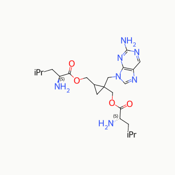 CC(C)C[C@H](N)C(=O)OCC1CC1(COC(=O)[C@@H](N)CC(C)C)Cn1cnc2cnc(N)nc21